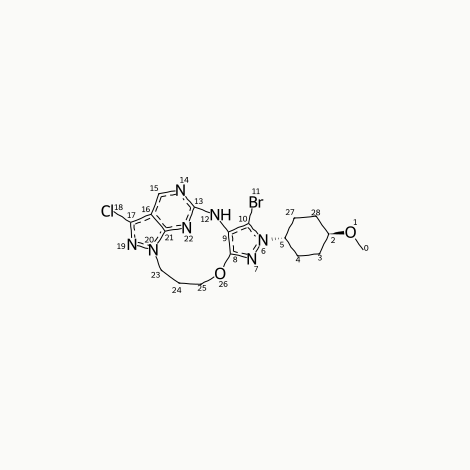 CO[C@H]1CC[C@H](n2nc3c(c2Br)Nc2ncc4c(Cl)nn(c4n2)CCCO3)CC1